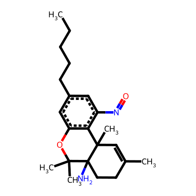 CCCCCc1cc(N=O)c2c(c1)OC(C)(C)C1(N)CCC(C)=CC21C